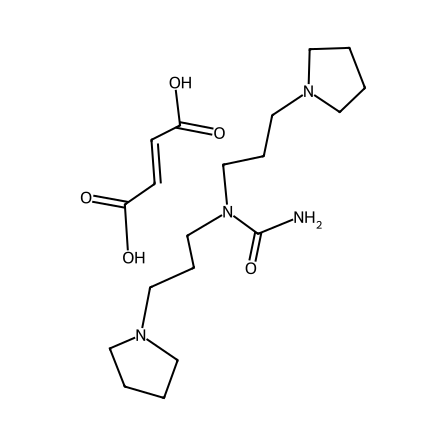 NC(=O)N(CCCN1CCCC1)CCCN1CCCC1.O=C(O)C=CC(=O)O